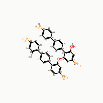 Oc1cc(P)cc(Oc2cc(P)ccc2-c2ccc(-c3ccc(P)cc3I)cc2)c1-c1ccc(-c2ccc(P)cc2)cc1